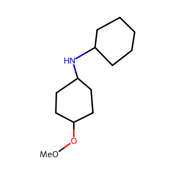 COOC1CCC(NC2CCCCC2)CC1